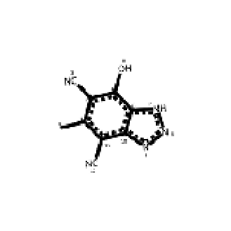 Cc1c(C#N)c(O)c2[nH]nnc2c1C#N